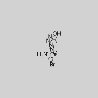 C[C@@H]1C[C@@H](O)c2ncnc(N3CCN(C(=O)[C@H](CN)c4ccc(Br)cc4F)CC3)c21